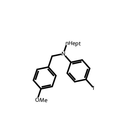 CCCCCCCN(Cc1ccc(OC)cc1)c1ccc(I)cc1